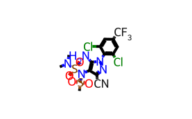 CN(C)S(=O)(=O)N(c1c(C#N)nn(-c2c(Cl)cc(C(F)(F)F)cc2Cl)c1N)S(C)(=O)=O